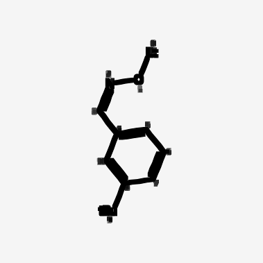 CCO/N=C\c1cccc(C(C)(C)C)c1